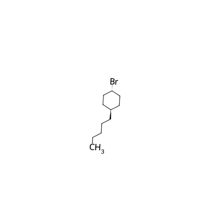 CCCCC[C@H]1CC[C@H](Br)CC1